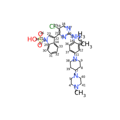 CC.CN1CCN(C2CCN(c3ccc(Nc4ncc(Cl)c(-c5cn(S(=O)(=O)O)c6ccccc56)n4)cc3)CC2)CC1